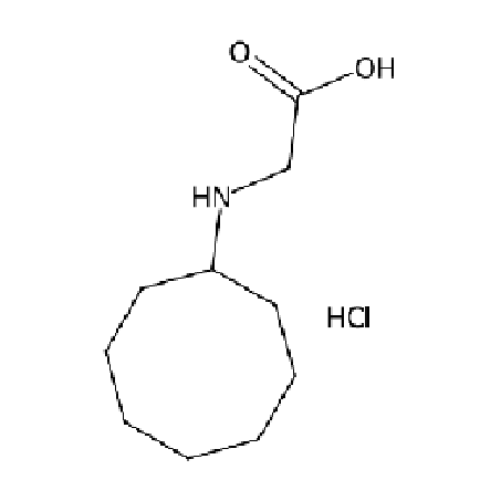 Cl.O=C(O)CNC1CCCCCCC1